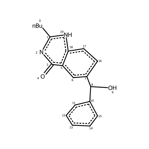 CCCCc1nc(=O)c2cc(C(O)c3ccccc3)ccc2[nH]1